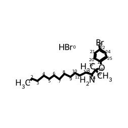 Br.CCCCCCCCCCCCC(N)C(C)(C)Oc1ccc(Br)cc1